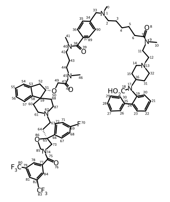 CN(CCCCCC(=O)N(C)CCN1CCC(N(C(=O)O)c2ccccc2-c2ccccc2)CC1)Cc1ccc(C(=O)N(C)CCCN(C)C(=O)CO[C@H]2Cc3ccccc3C23CCN(CC[C@]2(c4ccc(F)cc4)CN(C(=O)c4cc(C(F)(F)F)cc(C(F)(F)F)c4)CO2)CC3)cc1